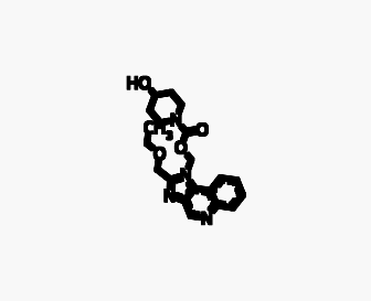 CCOCc1nc2cnc3ccccc3c2n1COC(=O)N1CCC(O)CC1